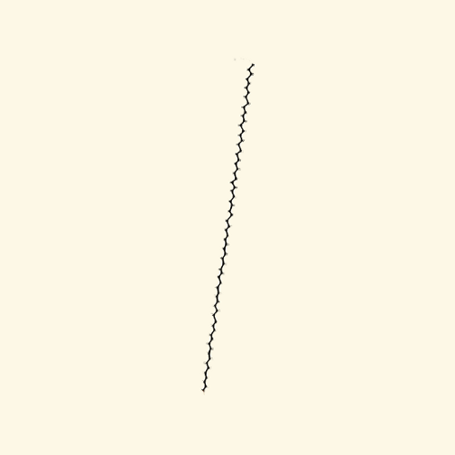 CCCCCCCCCCCCCCCCCCCCCCCCCCCCCCCCCCCCCCCCCCCCCCCCCCCCCCCCCCCCCCCCCCCCCCCCCCCCCCCCS